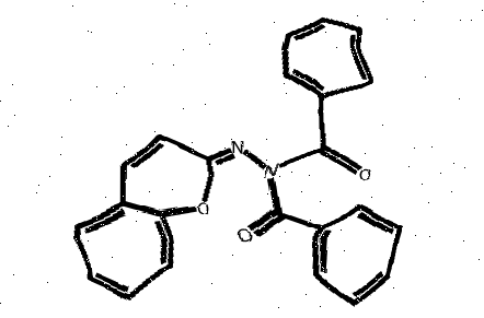 O=C(c1ccccc1)N(N=c1ccc2ccccc2o1)C(=O)c1ccccc1